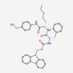 CCCCC[C@H](NC(=O)[C@H](Cc1ccccc1)NC(=O)OCC1c2ccccc2-c2ccccc21)C(=O)Nc1ccc(CO)cc1